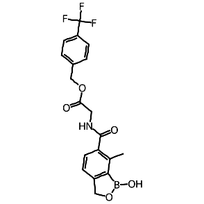 Cc1c(C(=O)NCC(=O)OCc2ccc(C(F)(F)F)cc2)ccc2c1B(O)OC2